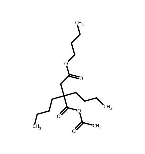 CCCCOC(=O)CC(CCCC)(CCCC)C(=O)OC(C)=O